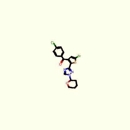 O=C(c1ccc(Cl)cc1)c1cc(Br)sc1-c1ncn(C2CCCCO2)n1